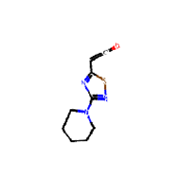 O=C=Cc1nc(N2CCCCC2)ns1